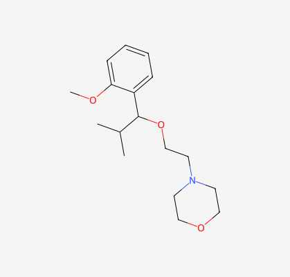 COc1ccccc1C(OCCN1CCOCC1)C(C)C